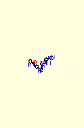 CN1CCN(c2cccc(Nc3nccc(-c4cn(C)nc4-c4ccc(NC(=O)c5ccccc5)cc4)n3)c2)CC1